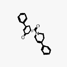 O=C1C=C(c2ccccc2)C[C@H](C(=O)N2CC=C(c3ccccc3)CC2)C1